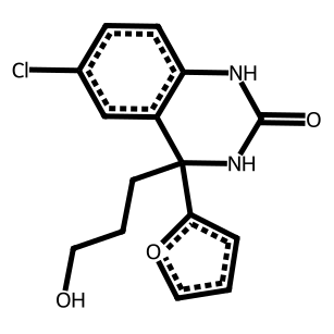 O=C1Nc2ccc(Cl)cc2C(CCCO)(c2ccco2)N1